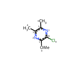 COc1nc(C)c(C)nc1Cl